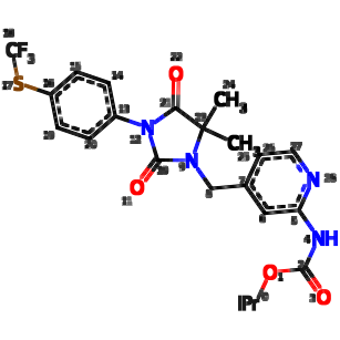 CC(C)OC(=O)Nc1cc(CN2C(=O)N(c3ccc(SC(F)(F)F)cc3)C(=O)C2(C)C)ccn1